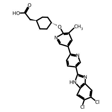 Cc1cc(-c2ccc(-c3nc4cc(Cl)c(Cl)cc4[nH]3)cn2)cnc1O[C@H]1CC[C@H](CC(=O)O)CC1